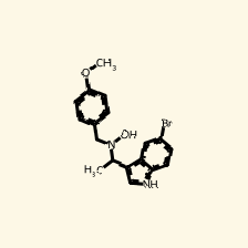 COc1ccc(CN(O)C(C)c2c[nH]c3ccc(Br)cc23)cc1